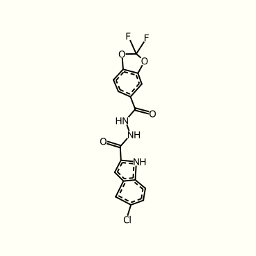 O=C(NNC(=O)c1cc2cc(Cl)ccc2[nH]1)c1ccc2c(c1)OC(F)(F)O2